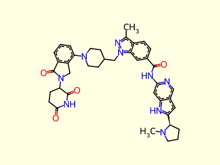 Cc1nn(CC2CCN(c3cccc4c3CN(C3CCC(=O)NC3=O)C4=O)CC2)c2cc(C(=O)Nc3cc4[nH]c([C@H]5CCCN5C)cc4cn3)ccc12